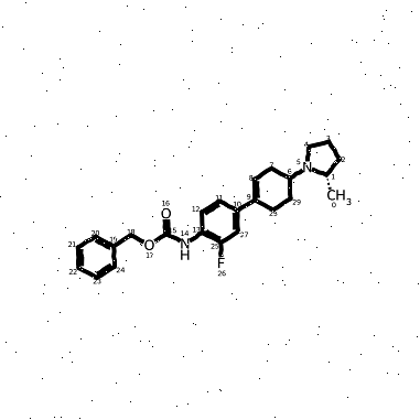 C[C@H]1CCCN1C1CC=C(c2ccc(NC(=O)OCc3ccccc3)c(F)c2)CC1